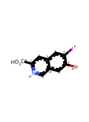 O=C(O)c1cc2cc(I)c(Br)cc2cn1